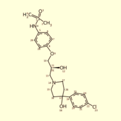 C=S(C)(=O)Nc1ccc(OC[C@@H](O)CN2CCC(O)(c3ccc(Cl)cc3)CC2)cc1